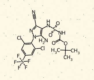 CC(C)(C)OC(=O)NS(=O)(=O)Nc1c(C#N)nn(-c2c(Cl)cc(S(F)(F)(F)(F)F)cc2Cl)c1N